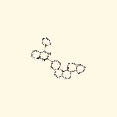 c1ccc(-c2nc(-c3ccc4c(ccc5ccc6c7ccccc7ccc6c54)c3)nc3ccccc23)cc1